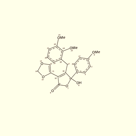 COc1ccc(C2(O)OC(=O)C(C3=COCO3)=C2Cc2cccc(OC)c2OC)cc1